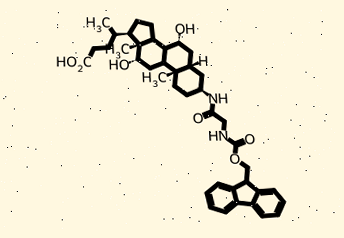 CC(CCC(=O)O)[C@H]1CCC2C3C(C[C@H](O)[C@@]21C)[C@@]1(C)CC[C@H](NC(=O)CNC(=O)OCC2c4ccccc4-c4ccccc42)C[C@H]1C[C@H]3O